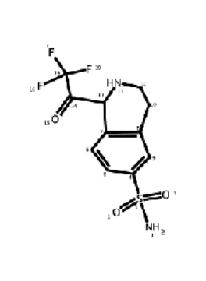 NS(=O)(=O)c1ccc2c(c1)CCNC2C(=O)C(F)(F)F